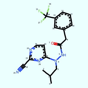 CC(C)CN(NC(=O)Cc1cccc(C(F)(F)F)c1)c1ccnc(C#N)n1